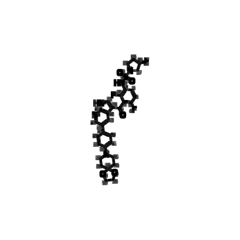 O=C(c1c(F)ccc(NS(=O)(=O)N2CC[C@@H](F)C2)c1F)c1c[nH]c2ncc(-c3ccc(N4CCC5(CC4)OCCO5)cc3)cc12